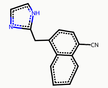 N#Cc1ccc(Cc2ncc[nH]2)c2ccccc12